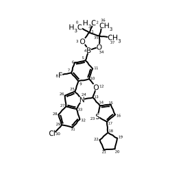 CC1(C)OB(c2cc(F)c3c(c2)OC(c2ccc(C4CCCC4)s2)n2c-3cc3cc(Cl)ccc32)OC1(C)C